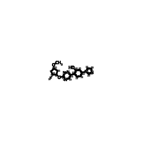 CO[C@@H]1C[C@@H](F)[C@H](Oc2ncc(-c3ccc(-n4ccnc4)cc3O)nn2)C1